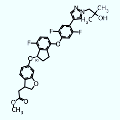 COC(=O)CC1COc2cc(O[C@@H]3CCc4c(Oc5cc(F)c(-c6cnn(CC(C)(C)O)c6)cc5F)ccc(F)c43)ccc21